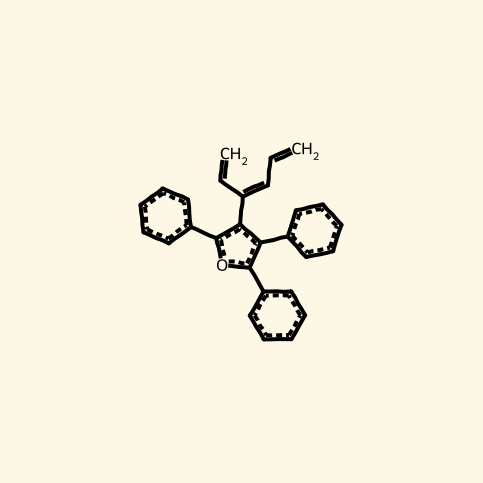 C=C/C=C(\C=C)c1c(-c2ccccc2)oc(-c2ccccc2)c1-c1ccccc1